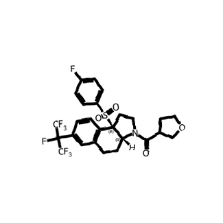 O=C(C1CCOC1)N1CC[C@@]2(S(=O)(=O)c3ccc(F)cc3)c3ccc(C(F)(C(F)(F)F)C(F)(F)F)cc3CC[C@@H]12